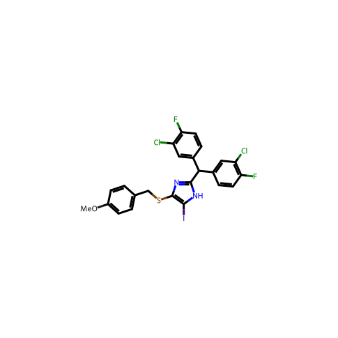 COc1ccc(CSc2nc(C(c3ccc(F)c(Cl)c3)c3ccc(F)c(Cl)c3)[nH]c2I)cc1